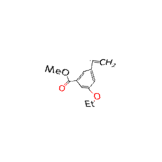 C=[C]c1cc(OCC)cc(C(=O)OC)c1